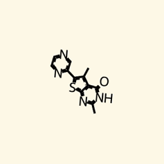 Cc1nc2sc(-c3cnccn3)c(C)c2c(=O)[nH]1